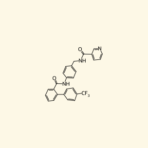 O=C(NCc1ccc(NC(=O)c2ccccc2-c2ccc(C(F)(F)F)cc2)cc1)c1cccnc1